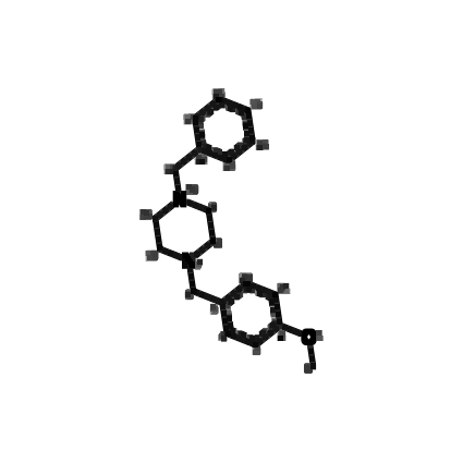 COc1ccc(CN2CCN(Cc3ccccc3)CC2)cc1